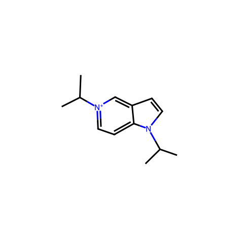 CC(C)n1ccc2c[n+](C(C)C)ccc21